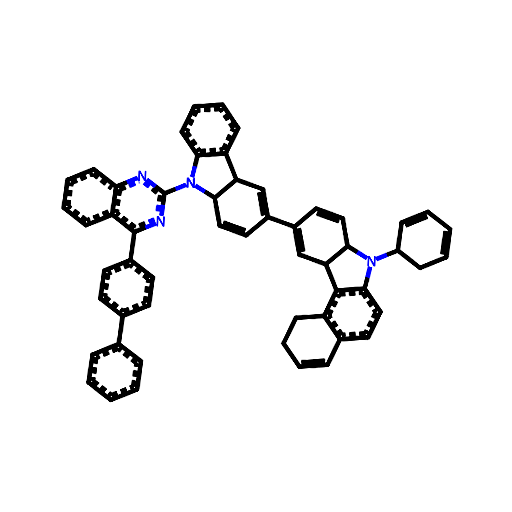 C1=CCC(N2c3ccc4c(c3C3C=C(C5=CC6c7ccccc7N(c7nc(-c8ccc(-c9ccccc9)cc8)c8ccccc8n7)C6C=C5)C=CC32)CCC=C4)C=C1